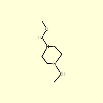 CBN1CCN(BOC)CC1